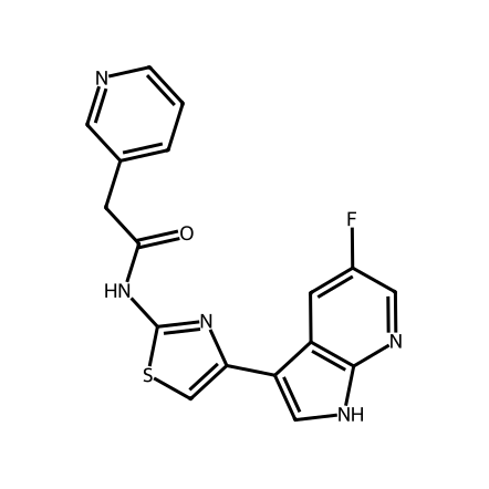 O=C(Cc1cccnc1)Nc1nc(-c2c[nH]c3ncc(F)cc23)cs1